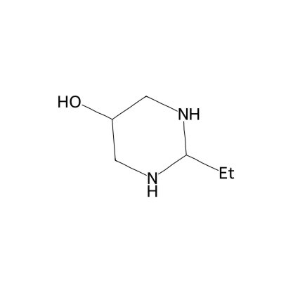 CCC1NCC(O)CN1